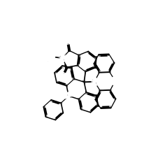 CN1C(=O)c2cccc(C3(N4c5ccccc5Sc5ccccc54)c4ccccc4N(c4ccccc4)c4ccccc43)c2C1=O